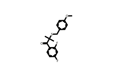 COc1ccc(CSC(C)(C)C(=O)c2ccc(F)cc2F)cc1